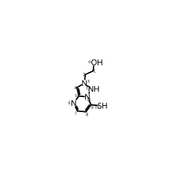 OCCN1C=C2N=CC=C(S)N2N1